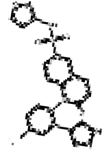 O=c1ccc2cc(S(=O)(=O)Nc3ccon3)ccc2n1-c1ccc(C(F)(F)F)cc1-c1cn[nH]c1